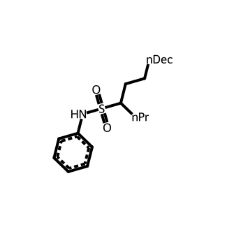 CCCCCCCCCCCCC(CCC)S(=O)(=O)Nc1ccccc1